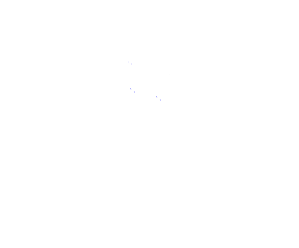 OCCCN1CCN=N1